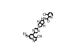 CCOc1cc(-c2cnc(N3C[C@H]4C[C@H](NC(=O)c5ncccc5Cl)C[C@H]4C3)cn2)c2c(C#N)cnn2c1